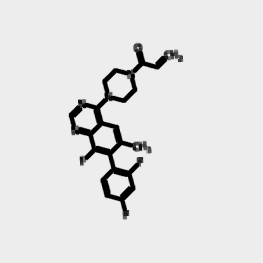 C=CC(=O)N1CCN(c2ncnc3c(F)c(-c4ccc(F)cc4F)c(C)cc23)CC1